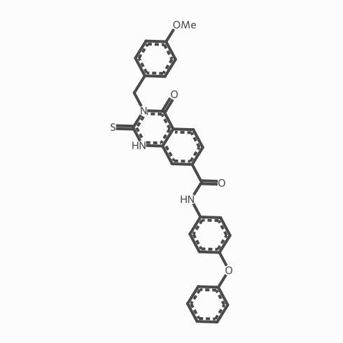 COc1ccc(Cn2c(=S)[nH]c3cc(C(=O)Nc4ccc(Oc5ccccc5)cc4)ccc3c2=O)cc1